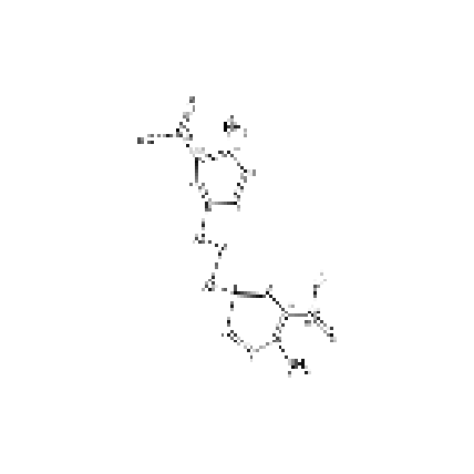 Nc1ccc(OCOc2ccc(N)c([N+](=O)[O-])c2)cc1[N+](=O)[O-]